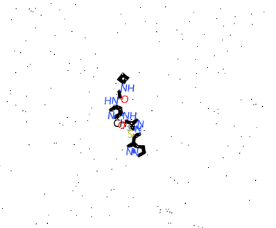 Cc1ncc(NC(=O)CNC2CCC2)cc1NC(=O)c1cnn2cc(-c3cnn4c3CCC4)sc12